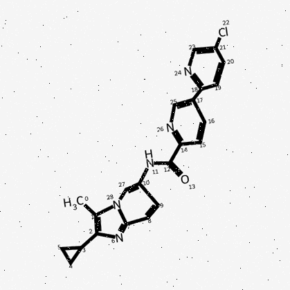 Cc1c(C2CC2)nc2ccc(NC(=O)c3ccc(-c4ccc(Cl)cn4)cn3)cn12